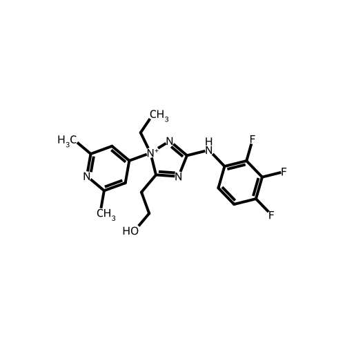 CC[N+]1(c2cc(C)nc(C)c2)N=C(Nc2ccc(F)c(F)c2F)N=C1CCO